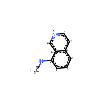 CNc1cccc2ccncc12